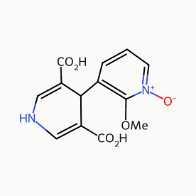 COc1c(C2C(C(=O)O)=CNC=C2C(=O)O)ccc[n+]1[O-]